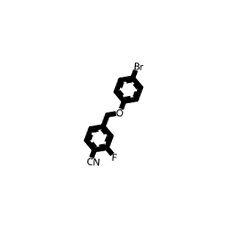 N#Cc1ccc(COc2ccc(Br)cc2)cc1F